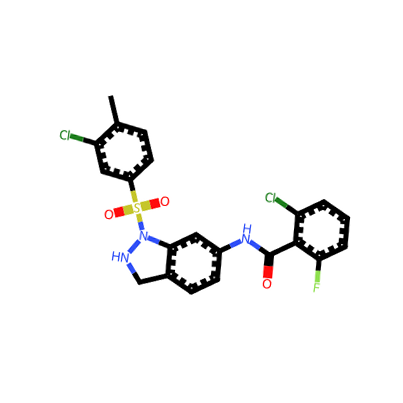 Cc1ccc(S(=O)(=O)N2NCc3ccc(NC(=O)c4c(F)cccc4Cl)cc32)cc1Cl